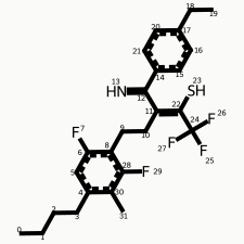 CCCCc1cc(F)c(CC/C(C(=N)c2ccc(CC)cc2)=C(/S)C(F)(F)F)c(F)c1C